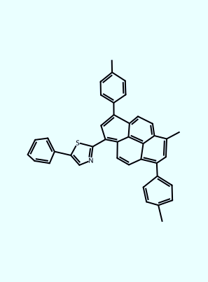 Cc1ccc(-c2cc(C)c3ccc4c(-c5ccc(C)cc5)cc(-c5ncc(-c6ccccc6)s5)c5ccc2c3c45)cc1